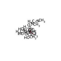 CCO[C@@H](C1C[C@@H](C)[C@H]2C(O1)[C@H](O)C(C)(C)[C@]2(C)CC[C@]12CCC[C@H]3C(C)(C)[C@@H](O[C@H]4CN(C(C)(C)C5CN(C)C5)CCO4)CC[C@@]31C2)C(C)(C)O